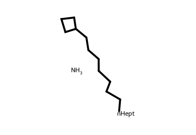 CCCCCCCCCCCCCCC1CCC1.N